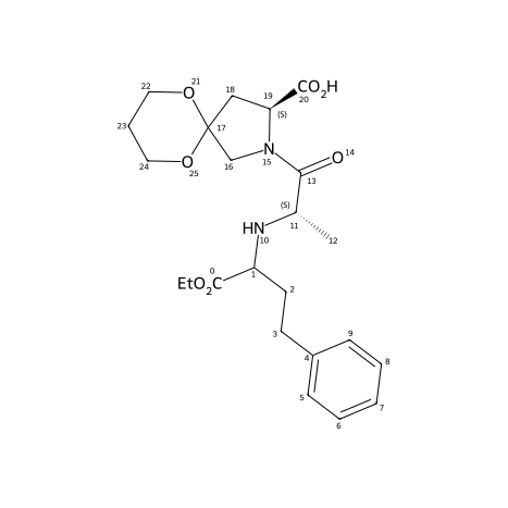 CCOC(=O)C(CCc1ccccc1)N[C@@H](C)C(=O)N1CC2(C[C@H]1C(=O)O)OCCCO2